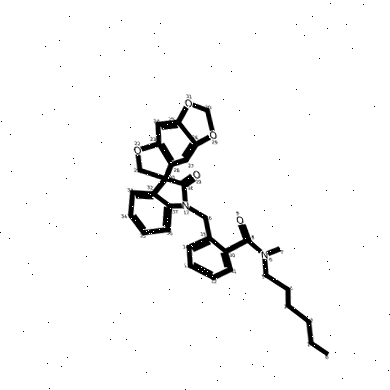 CCCCCCN(C)C(=O)c1ccccc1CN1C(=O)C2(COc3cc4c(cc32)OCO4)c2ccccc21